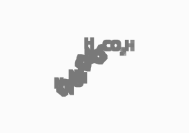 O=C(O)CC1CCc2c1[nH]c1ccc(-c3noc(-c4cnccn4)n3)cc21